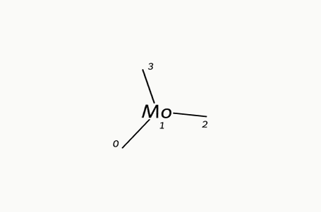 [CH3][Mo]([CH3])[CH3]